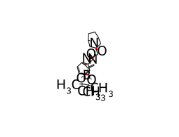 CC1(C)OB(c2cnn(CC3CC4CCC(C3)N4C(=O)OCc3ccccc3)c2)OC1(C)C